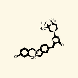 CN1CCN(C2=NC(=O)/C(=C/c3ccc4c(cnn4Cc4ccc(Cl)cc4C(F)(F)F)c3)S2)CC1(C)C